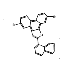 Brc1ccc2c3ccc(Br)cc3c3oc(-c4cccc5ccccc45)nc3c2c1